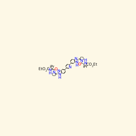 CCOC(=O)NC(C(=O)N1CCC[C@H]1c1nc2ccc(-c3ccc(-c4ccc5[nH]c([C@@H]6CCCN6C(=O)[C@@H](NC(=O)OCC)C(C)C)nc5c4)cn3)cc2[nH]1)C(C)C